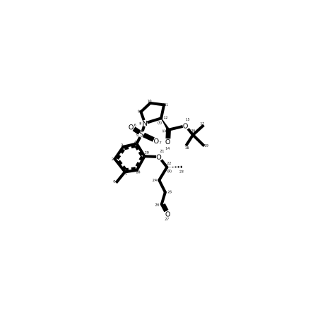 Cc1ccc(S(=O)(=O)N2CCC[C@H]2C(=O)OC(C)(C)C)c(O[C@H](C)CCC=O)c1